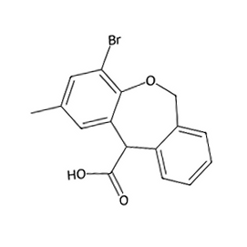 Cc1cc(Br)c2c(c1)C(C(=O)O)c1ccccc1CO2